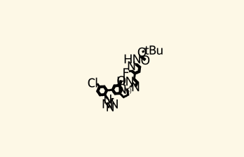 CC(C)(C)OC(=O)Nc1ccc(-c2cnc([C@@H]3CCc4cc(-c5cc(Cl)ccc5-n5cnnn5)cc(=O)n43)[nH]2)c(F)n1